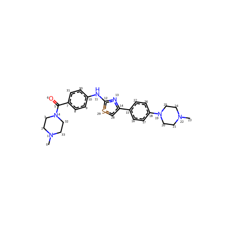 CN1CCN(C(=O)c2ccc(Nc3nc(-c4ccc(N5CCN(C)CC5)cc4)cs3)cc2)CC1